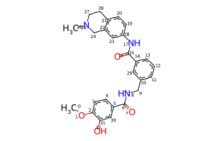 COc1ccc(C(=O)NCc2cccc(C(=O)Nc3ccc4c(c3)CN(C)CC4)c2)cc1O